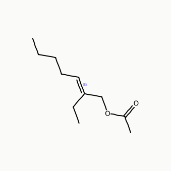 CCCC/C=C(\CC)COC(C)=O